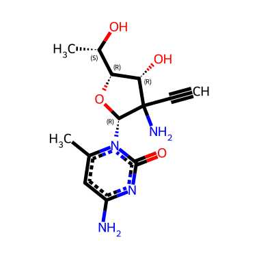 C#CC1(N)[C@@H](O)[C@@H]([C@H](C)O)O[C@H]1n1c(C)cc(N)nc1=O